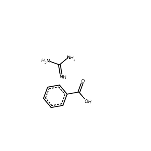 N=C(N)N.O=C(O)c1ccccc1